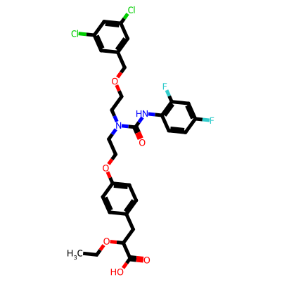 CCOC(Cc1ccc(OCCN(CCOCc2cc(Cl)cc(Cl)c2)C(=O)Nc2ccc(F)cc2F)cc1)C(=O)O